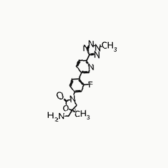 Cn1nnc(-c2ccc(-c3ccc(N4C[C@](C)(CN)OC4=O)cc3F)cn2)n1